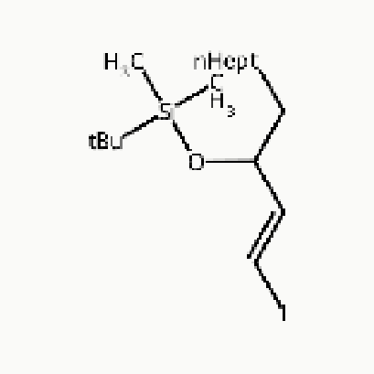 CCCCCCCCC(/C=C/I)O[Si](C)(C)C(C)(C)C